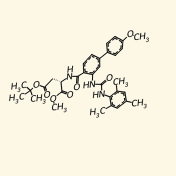 COC(=O)[C@H](CC(=O)OC(C)(C)C)NC(=O)c1ccc(-c2ccc(OC)cc2)cc1NC(=O)Nc1c(C)cc(C)cc1C